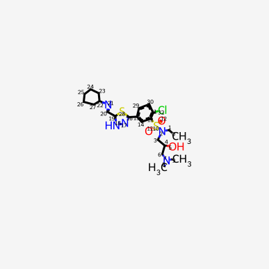 CCN(CC(O)CN(C)C)S(=O)(=O)c1cc(C2=NNC(C=NC3CCCCC3)S2)ccc1Cl